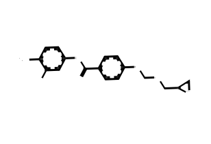 N#Cc1ccc(OC(=O)c2ccc(OCOCC3CO3)cc2)cc1F